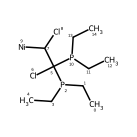 CCP(CC)C(Cl)([CH](Cl)[Ni])P(CC)CC